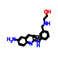 C#C/C=C1/C=C(N)C=C/C1=N/C(=C)Nc1cccc(CNCCO)c1